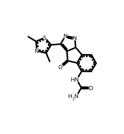 Cc1nc(C)c(C2=C3C(=O)c4c(NC(N)=O)cccc4C3N=N2)s1